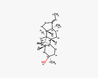 CC=C1CC[C@H]2[C@@H]3CC[C@H]4C[C@](C)(O)CC[C@]4(COC)[C@H]3CC[C@]12C